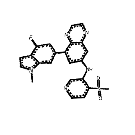 Cn1ccc2c(F)cc(-c3cc(Nc4cnccc4S(C)(=O)=O)cc4nccnc34)cc21